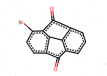 O=c1c2cccc3c2-c2c1ccc(Br)c2c3=O